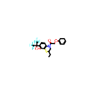 CCC1CN(C(=O)COc2ccccc2)c2ccc(C(O)(C(F)(F)F)C(F)(F)F)cc2S1